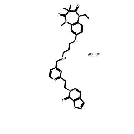 CCN1C(=O)C(C)(C)C(=O)N(C)c2cc(OCCCNCc3ccnc(CCn4ccc5ccsc5c4=O)c3)ccc21.Cl.Cl